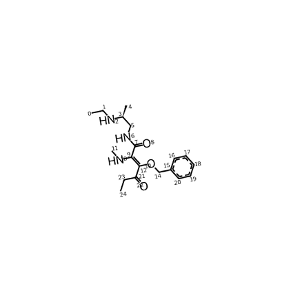 CCN[C@@H](C)CNC(=O)/C(NC)=C(\OCc1ccccc1)C(=O)CC